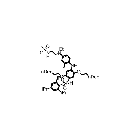 CCCCCCCCCCCCOc1cc(NS(=O)(=O)c2c(C(C)C)cc(C(C)C)cc2C(C)C)c(OCCCCCCCCCCCC)cc1Nc1ccc(N(CC)CCNS(C)(=O)=O)cc1C